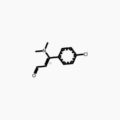 CN(C)/C(=C\C=O)c1ccc(Cl)cc1